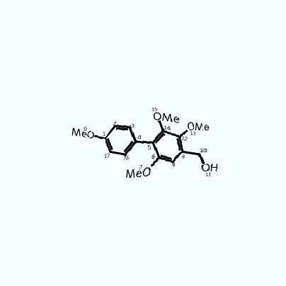 COc1ccc(-c2c(OC)cc(CO)c(OC)c2OC)cc1